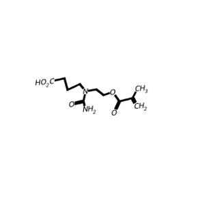 C=C(C)C(=O)OCCN(CCCC(=O)O)C(N)=O